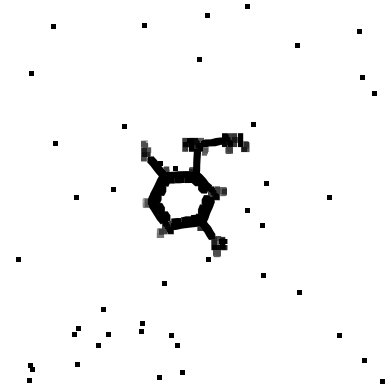 CCc1ncc(F)c(NN)n1